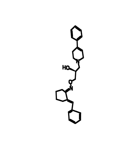 O[C@H](CO/N=C1\CCCC\C1=C/c1ccccc1)CN1CC=C(c2ccccc2)CC1